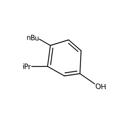 CCCCc1ccc(O)cc1C(C)C